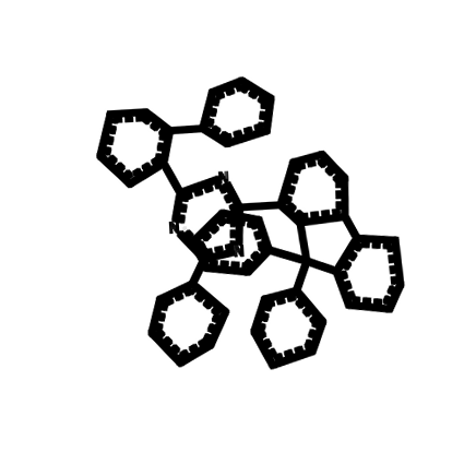 c1ccc(-c2nc(-c3ccccc3-c3ccccc3)nc(-c3cccc4c3C(c3ccccc3)(c3ccccc3)c3ccccc3-4)n2)cc1